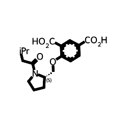 CC(C)CC(=O)N1CCC[C@H]1COc1ccc(C(=O)O)cc1C(=O)O